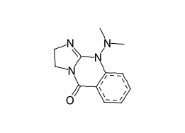 CN(C)N1C2=NCCN2C(=O)c2ccccc21